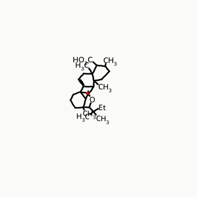 CCC(C)(C)C1OCC23CCCC1(C)C2CCC1C3=CCC2(C)C(C(=O)O)C(C)CCC12C